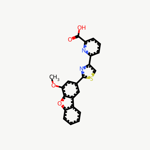 COc1cc(-c2nc(-c3cccc(C(=O)O)n3)cs2)cc2c1oc1ccccc12